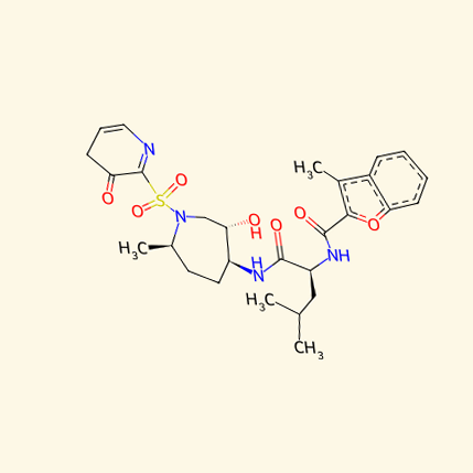 Cc1c(C(=O)N[C@@H](CC(C)C)C(=O)N[C@H]2CC[C@@H](C)N(S(=O)(=O)C3=NC=CCC3=O)C[C@@H]2O)oc2ccccc12